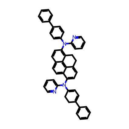 C1=C(c2ccccc2)CCC(N(c2ccccn2)c2ccc3c4c2ccc2ccc(N(c5ccc(-c6ccccc6)cc5)c5ccccn5)c(c24)CC3)=C1